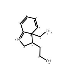 CCC12C=CC=CC1=NCC2CCO